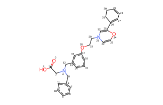 O=C(O)CN(Cc1ccccc1)Cc1cccc(OCCN2C=COC(C3=CC=CCC3)=C2)c1